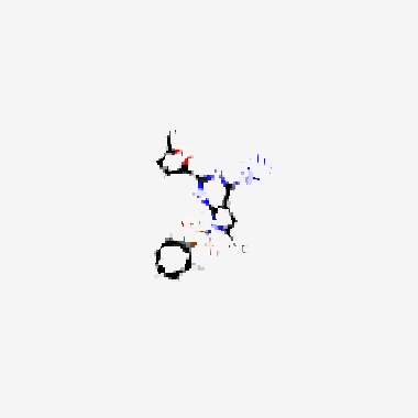 CC(=O)c1cc2c(NN)nc(-c3ccc(C)o3)nc2n1S(=O)(=O)c1ccccc1